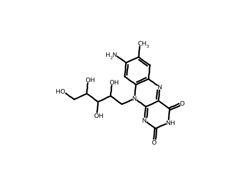 Cc1cc2nc3c(=O)[nH]c(=O)nc-3n(CC(O)C(O)C(O)CO)c2cc1N